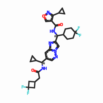 O=C(CC1CC(F)(F)C1)N[C@@H](c1cnn2cc([C@@H](NC(=O)c3conc3C3CC3)C3CCC(F)(F)CC3)nc2c1)C1CC1